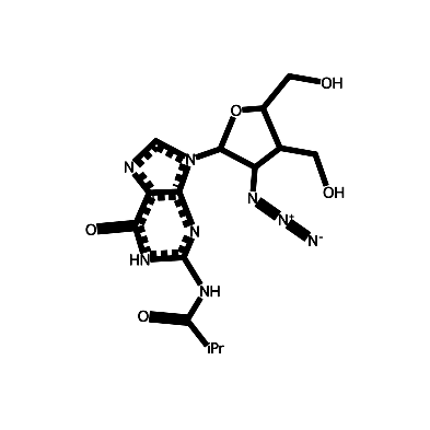 CC(C)C(=O)Nc1nc2c(ncn2C2OC(CO)C(CO)C2N=[N+]=[N-])c(=O)[nH]1